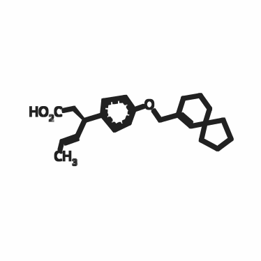 C/C=C/[C@@H](CC(=O)O)c1ccc(OCC2=CC3(CCCC3)CCC2)cc1